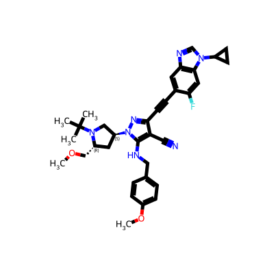 COC[C@H]1C[C@H](n2nc(C#Cc3cc4ncn(C5CC5)c4cc3F)c(C#N)c2NCc2ccc(OC)cc2)CN1C(C)(C)C